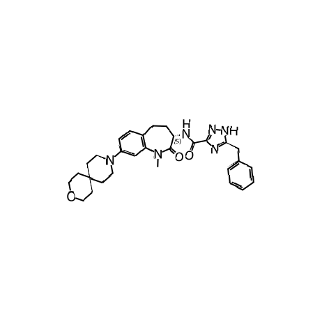 CN1C(=O)[C@@H](NC(=O)c2n[nH]c(Cc3ccccc3)n2)CCc2ccc(N3CCC4(CCOCC4)CC3)cc21